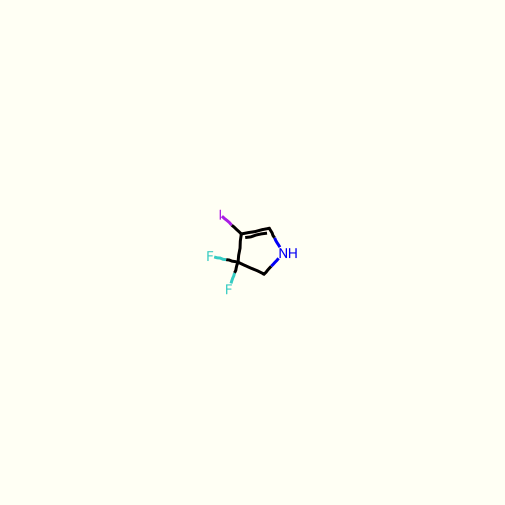 FC1(F)CNC=C1I